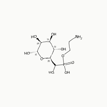 NCCOP(=O)(O)C(O)[C@H]1O[C@H](O)[C@@H](O)[C@@H](O)[C@@H]1O